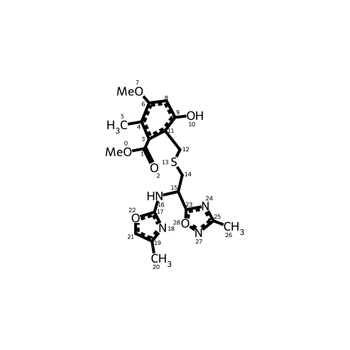 COC(=O)c1c(C)c(OC)cc(O)c1CSCC(Nc1nc(C)co1)c1nc(C)no1